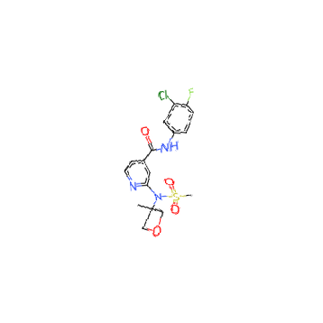 CC1(N(c2cc(C(=O)Nc3ccc(F)c(Cl)c3)ccn2)S(C)(=O)=O)COC1